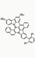 CC(C)c1cccc(C(C)C)c1-c1ccc2c(c1)c1c3ccccc3c3c4c1n2-c1ccc2ccccc2c1B4n1c2ccc(C(C)(C)C)cc2c2cc(C(C)(C)C)cc-3c21